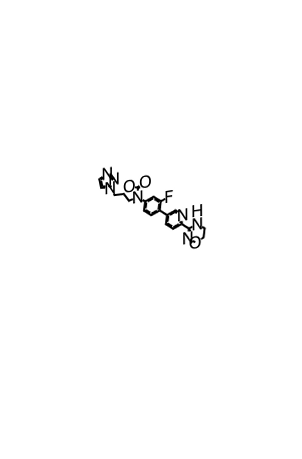 O=C1OC(Cn2ccnn2)CN1c1ccc(-c2ccc(C3=NOCCN3)nc2)c(F)c1